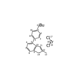 CCC(C)c1ccc(-c2cccc3c2C=C(C)[CH]3)cc1.[Cl][Zr][Cl]